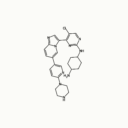 NC1CCC(Nc2ncc(Cl)c(-c3cnc4ccc(-c5ccc(N6CCNCC6)nc5)cn34)n2)CC1